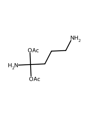 CC(=O)OC(N)(CCCN)OC(C)=O